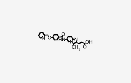 Cc1c(/C=C/C(=O)O)nc2ccc(NC(=O)c3ccc(OCc4ccccn4)cc3)cn12